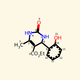 CCOC(=O)C1=C(C)NC(=O)NC1c1ccccc1O